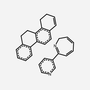 C1=CCN=C(c2cccnc2)C=C1.C1=Cc2ccc3c(c2CC1)CCc1ccccc1-3